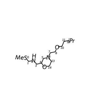 CSCNCC1CN(CCOCCC(C)C)CCO1